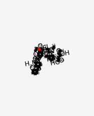 CC1COc2ccccc2N1C(=O)C(Cl)Cl.CCOCN(C(=O)CCl)c1c(C)cccc1CC.CP(=O)(O)CCC(N)C(=O)O.Nc1c([N+](=O)[O-])ccc(Oc2ccccc2)c1Cl